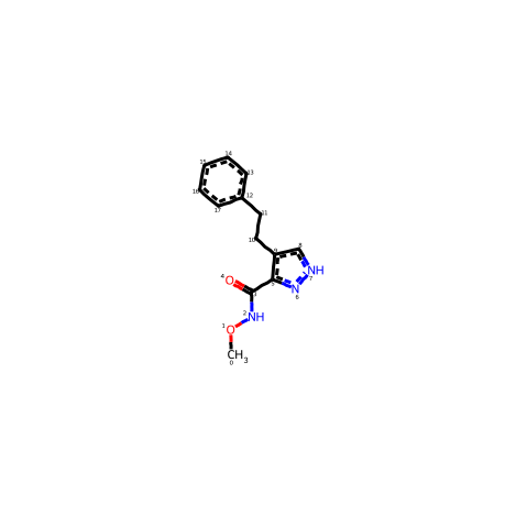 CONC(=O)c1n[nH]cc1CCc1ccccc1